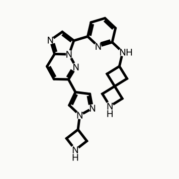 c1cc(NC2CC3(CNC3)C2)nc(-c2cnc3ccc(-c4cnn(C5CNC5)c4)nn23)c1